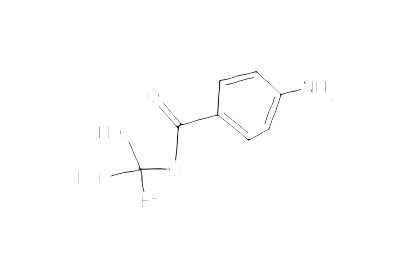 CCC(C)(C)OC(=O)c1ccc(N)cc1